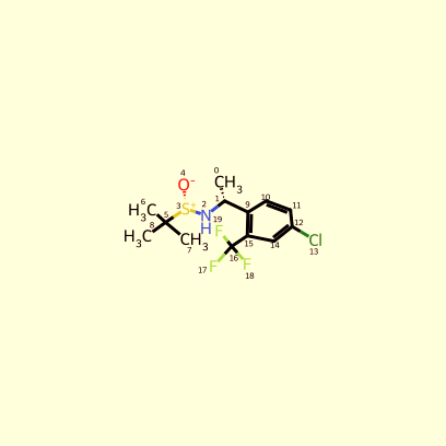 C[C@@H](N[S@@+]([O-])C(C)(C)C)c1ccc(Cl)cc1C(F)(F)F